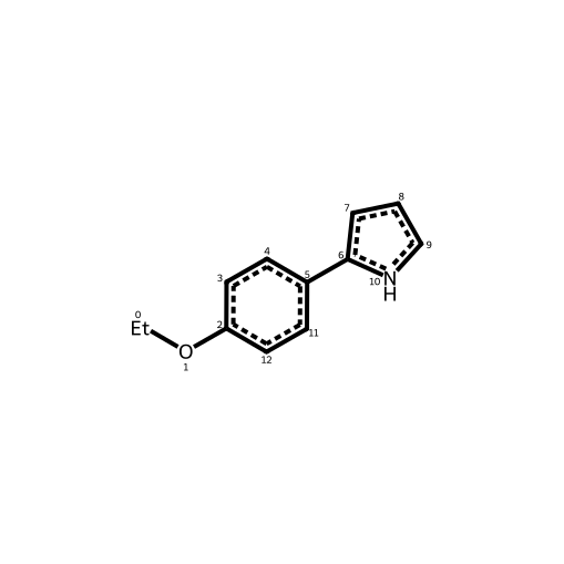 CCOc1ccc(-c2ccc[nH]2)cc1